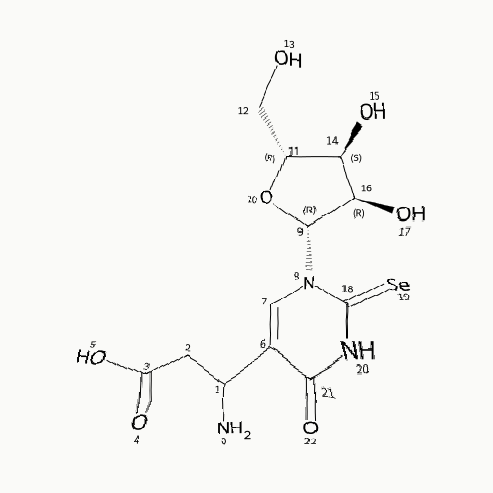 NC(CC(=O)O)c1cn([C@@H]2O[C@H](CO)[C@@H](O)[C@H]2O)c(=[Se])[nH]c1=O